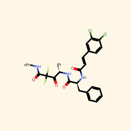 CCCNC(=O)C(F)(F)C(=O)[C@@H](NC(=O)[C@H](Cc1ccccc1)NC(=O)/C=C/c1ccc(Cl)c(Cl)c1)C(C)C